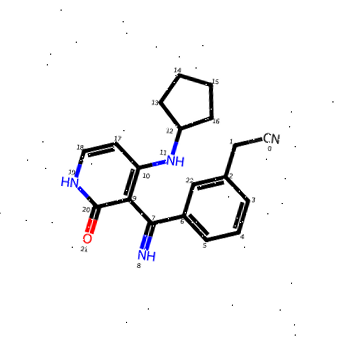 N#CCc1cccc(C(=N)c2c(NC3CCCC3)cc[nH]c2=O)c1